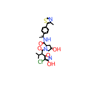 Cc1ncsc1-c1ccc([C@H](C)NC(=O)C2C[C@@H](O)CN2C(=O)C(c2onc(O)c2Cl)C(C)C)cc1